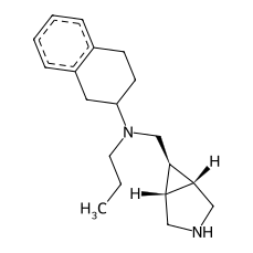 CCCN(C[C@H]1[C@@H]2CNC[C@@H]21)C1CCc2ccccc2C1